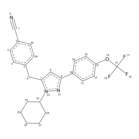 N#Cc1ccc(Cc2cc(-c3ccc(OC(F)(F)F)cc3)nn2C2CCCCC2)cc1